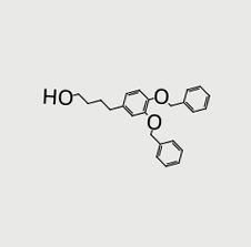 OCCCCc1ccc(OCc2ccccc2)c(OCc2ccccc2)c1